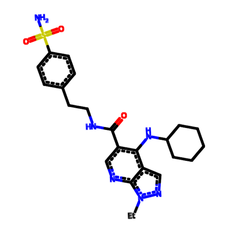 CCn1ncc2c(NC3CCCCC3)c(C(=O)NCCc3ccc(S(N)(=O)=O)cc3)cnc21